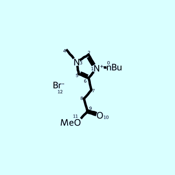 CCCC[n+]1cn(C)cc1CCC(=O)OC.[Br-]